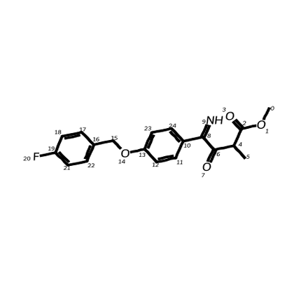 COC(=O)C(C)C(=O)C(=N)c1ccc(OCc2ccc(F)cc2)cc1